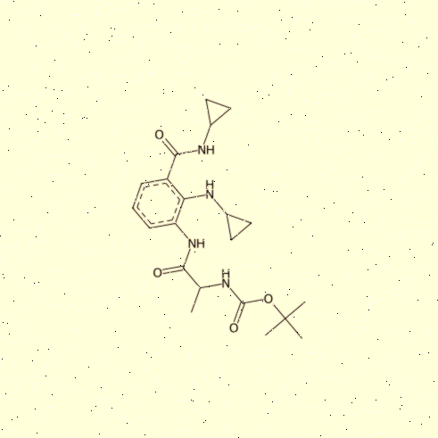 CC(NC(=O)OC(C)(C)C)C(=O)Nc1cccc(C(=O)NC2CC2)c1NC1CC1